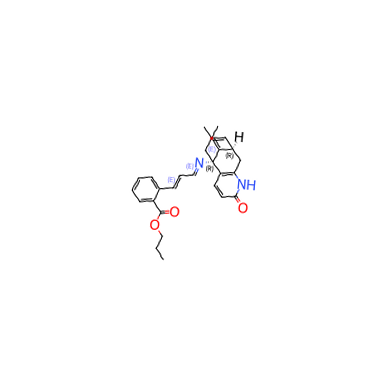 C/C=C1\[C@H]2C=C(C)C[C@]1(/N=C/C=C/c1ccccc1C(=O)OCCC)c1ccc(=O)[nH]c1C2